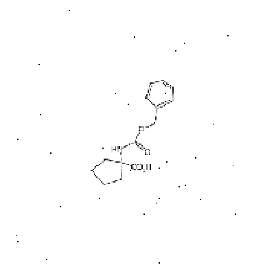 O=C(NC1(C(=O)O)CCCC1)OCc1ccccc1